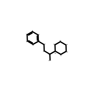 [CH2]C(CCc1ccccc1)C1CCCCC1